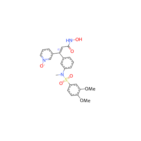 COc1ccc(S(=O)(=O)N(C)c2cccc(/C(=C\C(=O)NO)c3ccc[n+]([O-])c3)c2)cc1OC